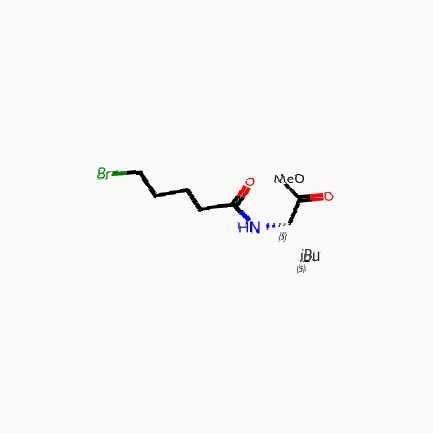 CC[C@H](C)[C@H](NC(=O)CCCCBr)C(=O)OC